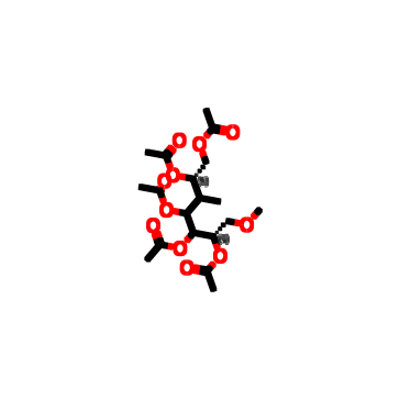 COC[C@H](OC(C)=O)C(OC(C)=O)C(OC(C)=O)C(C)[C@@H](COC(C)=O)OC(C)=O